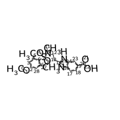 COc1cc(C)c(S(=O)(=O)N(C)CCc2nc3ccc(C(=O)O)cc3[nH]2)c(C)c1